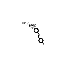 Cc1ccc(C=Cc2ccc(S(=O)(=O)N[C@H](C)C(=O)O)cc2)cc1